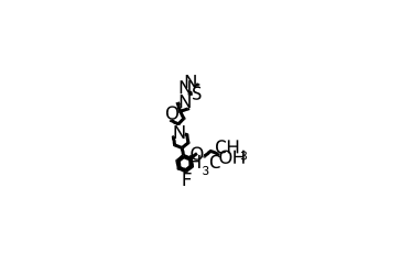 CC(C)(O)CCOc1cc(F)ccc1C1CCN(C2COC3(C2)CN(c2nncs2)C3)CC1